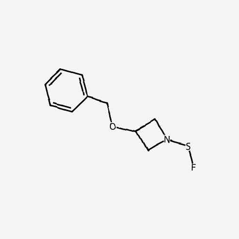 FSN1CC(OCc2ccccc2)C1